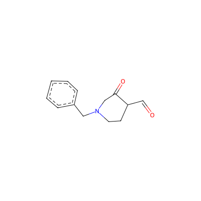 O=CC1CCN(Cc2ccccc2)CC1=O